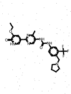 CCOc1cc(-c2ncc(NC(=O)Nc3ccc(CN4CCCC4)c(C(F)(F)F)c3)c(C)n2)c[nH]c1=O